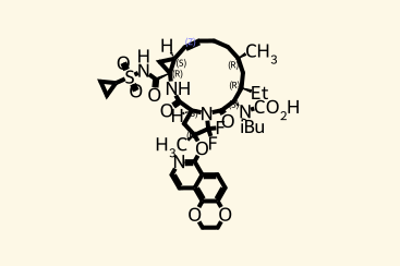 CCC(C)N(C(=O)O)[C@@H]1C(=O)N2[C@@H](C[C@@](C)(Oc3nccc4c5c(ccc34)OCCO5)C2(F)F)C(=O)N[C@]2(C(=O)NS(=O)(=O)C3CC3)C[C@H]2/C=C\CC[C@@H](C)C[C@H]1CC